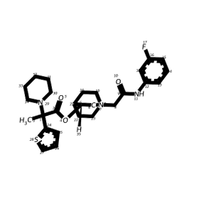 CC(C(=O)O[C@H]1C[N+]2(CC(=O)Nc3cccc(F)c3)CCC1CC2)(c1cccs1)N1CCCCC1